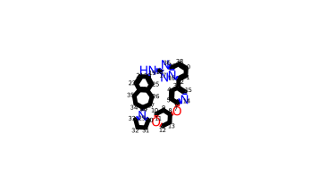 c1cc(-c2ccc(OC3CCOCC3)nc2)n2nc(Nc3ccc4c(c3)CC[C@@H](N3CCCC3)CC4)nc2c1